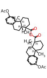 CC(=O)Oc1ccc2c(c1)[C@@]1(C)CCC[C@](C)(C(=O)OC(=O)[C@@]3(C)CCC[C@]4(C)c5cc(OC(C)=O)ccc5CC[C@@H]34)[C@@H]1CC2